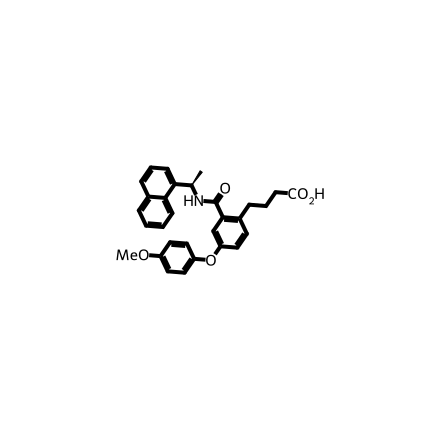 COc1ccc(Oc2ccc(CCCC(=O)O)c(C(=O)N[C@H](C)c3cccc4ccccc34)c2)cc1